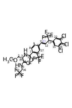 COC[C@@H](NC(=O)c1ccc(/C=C/C(c2cc(Cl)c(Cl)c(Cl)c2)C(F)(F)F)cc1C(F)(F)F)C(=O)NCC(F)(F)F